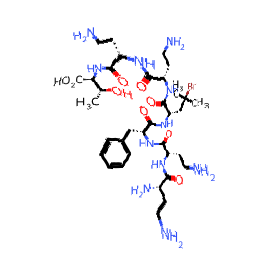 C[C@@H](O)[C@H](NC(=O)[C@H](CCN)NC(=O)[C@H](CCN)NC(=O)[C@H](CC(C)(C)Br)NC(=O)[C@@H](Cc1ccccc1)NC(=O)[C@H](CCN)NC(=O)[C@@H](N)CCN)C(=O)O